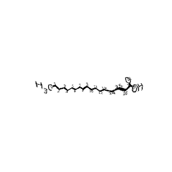 CCCCCCCCC=CCCCCCC=CC(=O)O